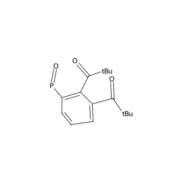 CC(C)(C)C(=O)c1cccc(P=O)c1C(=O)C(C)(C)C